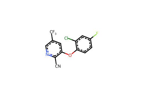 N#Cc1ncc(C(F)(F)F)cc1Oc1ccc(F)cc1Cl